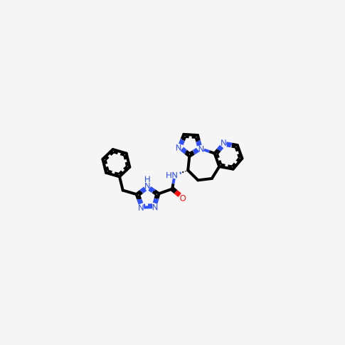 O=C(N[C@H]1CCc2cccnc2-n2ccnc21)c1nnc(Cc2ccccc2)[nH]1